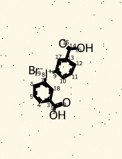 O=C(O)c1cccc([I+]c2cccc(C(=O)O)c2)c1.[Br-]